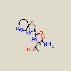 C[C@@H](O)[C@H](NC(=O)[C@@H]1CSC2(CCCNC2)N1)C(N)=O